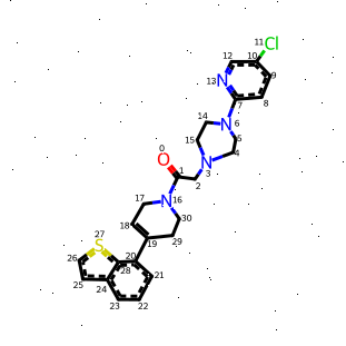 O=C(CN1CCN(c2ccc(Cl)cn2)CC1)N1CC=C(c2cccc3ccsc23)CC1